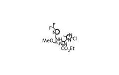 CCOC(=O)c1nc(-c2nc(Cl)ncc2C)cn1C[C@H](COC)NCc1cccc(C(F)F)n1